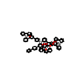 c1ccc(-c2ccc(-c3cccc(N(c4ccc(-c5cccc(-c6ccccc6-n6c7ccccc7c7ccccc76)c5)cc4)c4cccc5c4oc4ccc(-c6ccc7c(c6)c6ccccc6n7-c6ccccc6-c6cccc(-c7ccc(N(c8cccc9ccccc89)c8cccc9c8oc8ccccc89)cc7)c6)cc45)c3)cc2)cc1